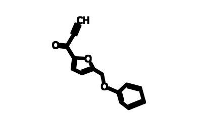 C#CC(=O)c1ccc(COc2ccccc2)o1